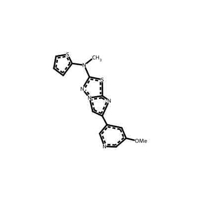 COc1cncc(-c2cn3nc(N(C)c4cccs4)sc3n2)c1